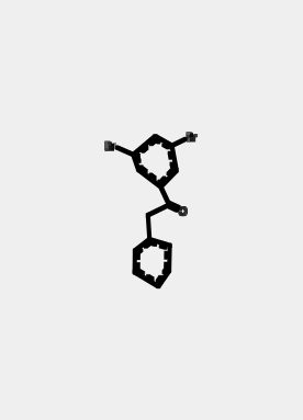 O=C(Cc1ccccc1)c1cc(Br)cc(Br)c1